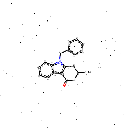 CC(=O)OC1CC(=O)c2c(n(Cc3ccccc3)c3ccccc23)C1